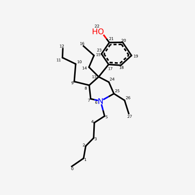 CCCCCCN1CC(CCCC)C(CCC)(c2cccc(O)c2)CC1CC